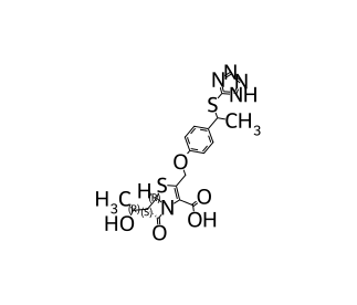 CC(Sc1nnn[nH]1)c1ccc(OCC2=C(C(=O)O)N3C(=O)[C@H]([C@@H](C)O)[C@H]3S2)cc1